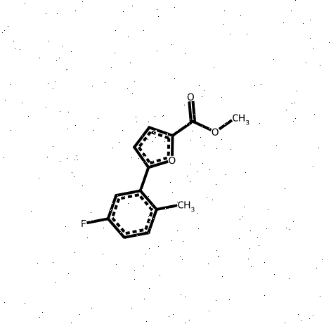 COC(=O)c1ccc(-c2cc(F)ccc2C)o1